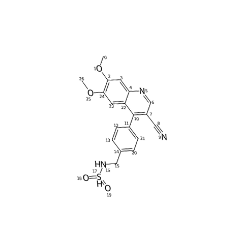 COc1cc2ncc(C#N)c(-c3ccc(CN[SH](=O)=O)cc3)c2cc1OC